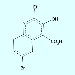 CCc1nc2ccc(Br)cc2c(C(=O)O)c1O